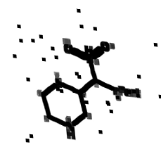 CCCCCC(C1CNCCS1)[SH](=O)=O